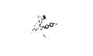 CCCCc1ccc(-c2ccc(C(=O)N[C@@H](CNC(=O)OC(C)(C)C)C(=O)N[C@@H](CCC(=O)O)C(=O)N[C@@H](C)C(=O)N[C@@H](CCCCNC(=O)OC(C)(C)C)C(=O)N[C@@H](C)B3OC4C[C@@H]5C[C@@H](C5(C)C)[C@]4(C)O3)cc2)cc1